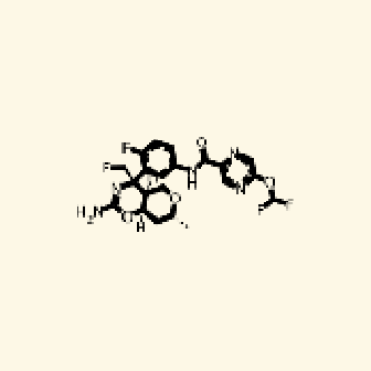 C[C@@H]1C[C@H]2OC(N)=N[C@](CF)(c3cc(NC(=O)c4cnc(OC(F)F)cn4)ccc3F)[C@H]2CO1